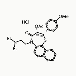 CCN(CC)CCN1C(=O)[C@H](OC(C)=O)[C@H](c2ccc(OC)cc2)Sc2c1ccc1ccccc21.Cl